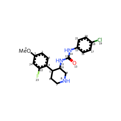 COc1ccc(C2CCNCC2NC(=O)Nc2ccc(Cl)cc2)c(F)c1